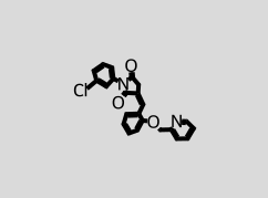 O=C1C/C(=C/c2ccccc2OCc2ccccn2)C(=O)N1c1cccc(Cl)c1